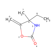 C=C1OC(=O)NC1(C)CC